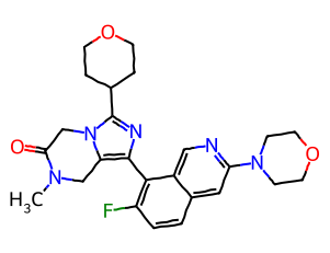 CN1Cc2c(-c3c(F)ccc4cc(N5CCOCC5)ncc34)nc(C3CCOCC3)n2CC1=O